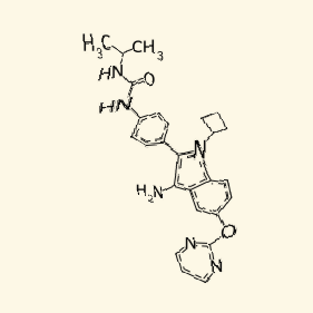 CC(C)NC(=O)Nc1ccc(-c2c(N)c3cc(Oc4ncccn4)ccc3n2C2CCC2)cc1